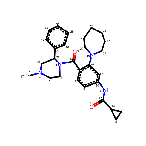 CCCN1CCN(C(=O)c2ccc(NC(=O)C3CC3)cc2N2CCCCCC2)C(c2ccccc2)C1